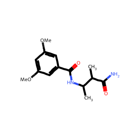 COc1cc(OC)cc(C(=O)NC(C)C(C)C(N)=O)c1